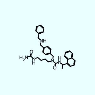 CC(NC(=O)N(CCCCNC(N)=O)Cc1ccc(CNCc2ccccc2)cc1)c1cccc2ccccc12